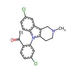 CCC(=O)c1ccc(Cl)cc1-n1c2c(c3cc(Cl)ccc31)CN(C)CC2